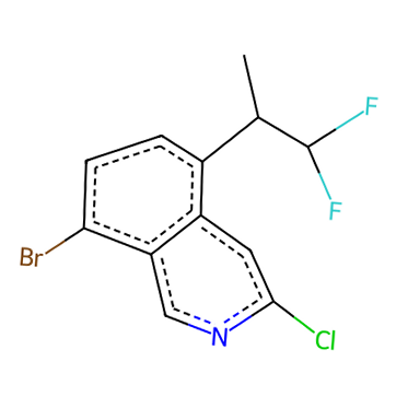 CC(c1ccc(Br)c2cnc(Cl)cc12)C(F)F